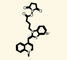 C[n+]1ccc(/C=C2\Sc3ccccc3N2CCCC(=O)ON2C(=O)CCC2=O)c2ccccc21.[Br-]